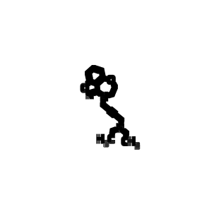 CCN(CC)CC#CCN1CCOc2cccc3onc1c23